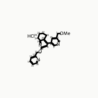 COCc1cncc(-c2cc(OCc3ccccn3)nc3c2CCCC3)c1.Cl